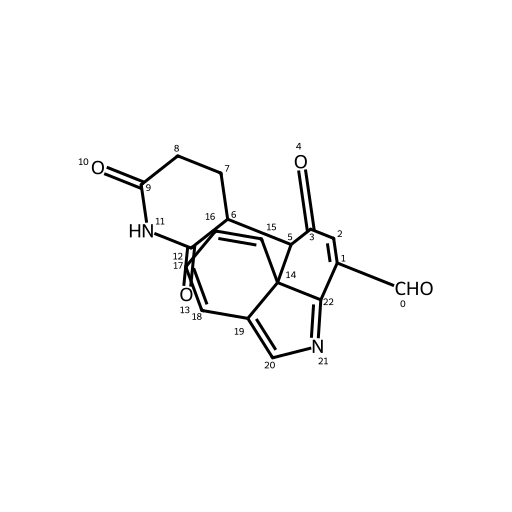 O=CC1=CC(=O)C(C2CCC(=O)NC2=O)C23C=CC=CC2=CN=C13